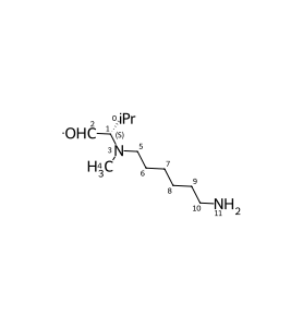 CC(C)[C@@H]([C]=O)N(C)CCCCCCN